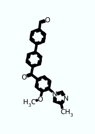 COc1cc(C(=O)c2ccc(-c3ccc(C=O)cc3)cc2)ccc1-n1cnc(C)c1